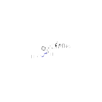 CC/C=C\C=C(/C)Oc1ccccc1CC(=O)N1CCc2cnc(N3CCN(C4CCC4)CC3)nc2CC1